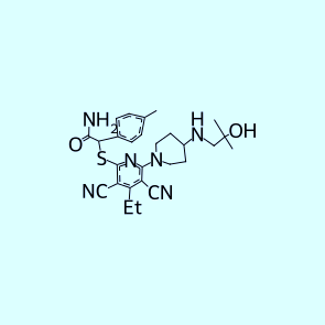 CCc1c(C#N)c(SC(C(N)=O)c2ccc(C)cc2)nc(N2CCC(NCC(C)(C)O)CC2)c1C#N